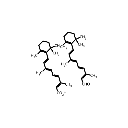 CC(C=CC1=C(C)CCCC1(C)C)=CC=CC(C)=CC(=O)O.CC(C=CC=C(C)C=CC1=C(C)CCCC1(C)C)=CC=O